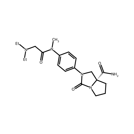 CCN(CC)CC(=O)N(C)c1ccc(N2C[C@@]3(C(N)=O)[CH]CCN3C2=O)cc1